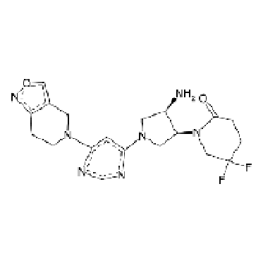 N[C@@H]1CN(c2cc(N3CCc4nocc4C3)ncn2)C[C@@H]1N1CC(F)(F)CCC1=O